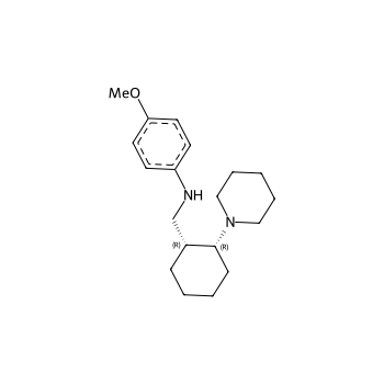 COc1ccc(NC[C@H]2CCCC[C@H]2N2CCCCC2)cc1